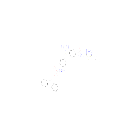 Nc1cc(C(=O)Nc2nnc(C(F)(F)F)s2)ccc1Sc1ccc(NC(=O)OCC2c3ccccc3-c3ccccc32)cc1